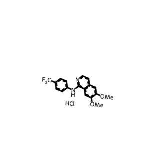 COc1cc2ccnc(Nc3ccc(C(F)(F)F)cc3)c2cc1OC.Cl